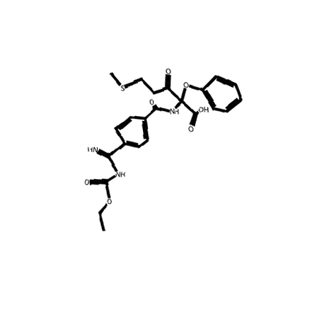 CCOC(=O)NC(=N)c1ccc(C(=O)NC(Oc2ccccc2)(C(=O)O)C(=O)CCSC)cc1